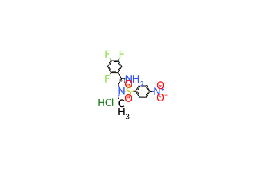 CCN(C[C@H](N)c1cc(F)c(F)cc1F)S(=O)(=O)c1ccc([N+](=O)[O-])cc1.Cl